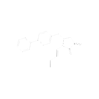 C=C1CC(Cc2ccc(-c3ccccc3)cc2)N(C=CCC)C1=O